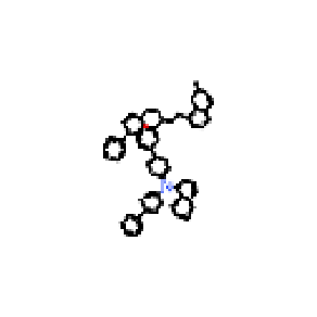 CC1C=Cc2cccc(C/C=C(\C=C/c3ccc(-c4ccccc4)cc3)c3cccc(-c4ccc(N(c5ccc(-c6ccccc6)cc5)c5cccc6ccccc56)cc4)c3)c2C1